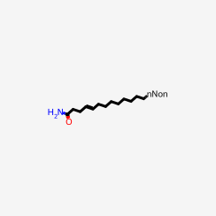 CCCCCCCCCCCCCCCCCC=CCCC(N)=O